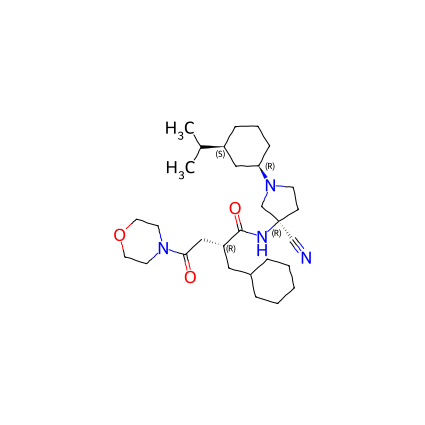 CC(C)[C@H]1CCC[C@@H](N2CC[C@@](C#N)(NC(=O)[C@@H](CC(=O)N3CCOCC3)CC3CCCCC3)C2)C1